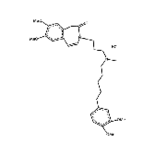 COc1ccc(CCCCCN(C)CCCN2C=Cc3cc(OC)c(OC)cc3CC2=O)cc1OC.Cl